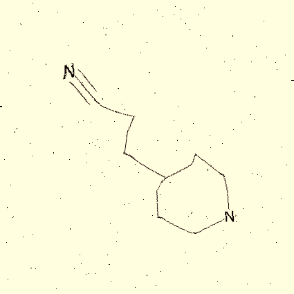 N#CCCC1CC[N]CC1